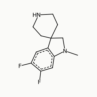 CN1CC2(CCNCC2)c2cc(F)c(F)cc21